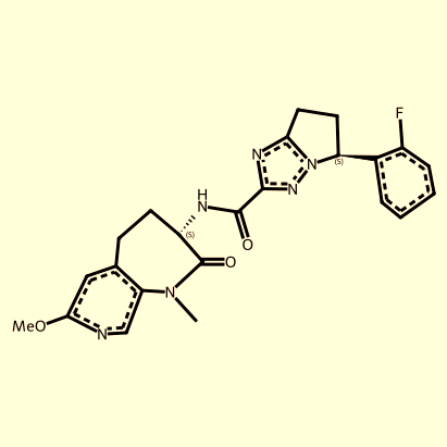 COc1cc2c(cn1)N(C)C(=O)[C@@H](NC(=O)c1nc3n(n1)[C@H](c1ccccc1F)CC3)CC2